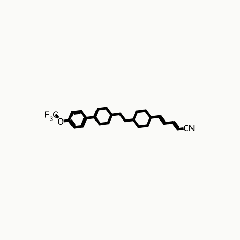 N#CC=CC=CC1CCC(CCC2CCC(c3ccc(OC(F)(F)F)cc3)CC2)CC1